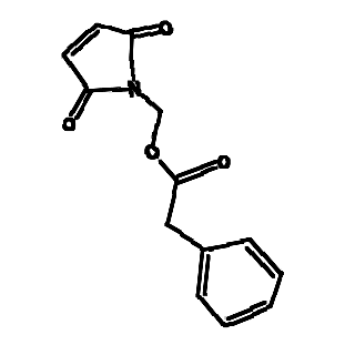 O=C(Cc1ccccc1)OCN1C(=O)C=CC1=O